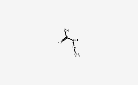 [CH3][Fe][AsH]C(=O)O